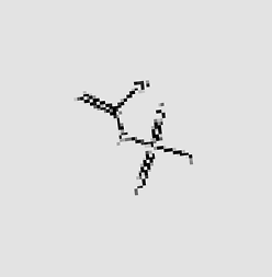 C=C(Cl)OS(C)(=O)=O